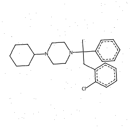 [CH2]C(Cc1ccccc1Cl)(c1ccccc1)N1CCN(C2CCCCC2)CC1